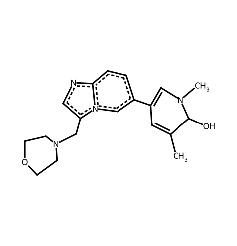 CC1=CC(c2ccc3ncc(CN4CCOCC4)n3c2)=CN(C)C1O